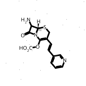 NC1C(=O)N2C(OC(=O)O)=C(C=Cc3cccnc3)CS[C@@H]12